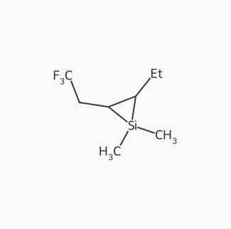 CCC1C(CC(F)(F)F)[Si]1(C)C